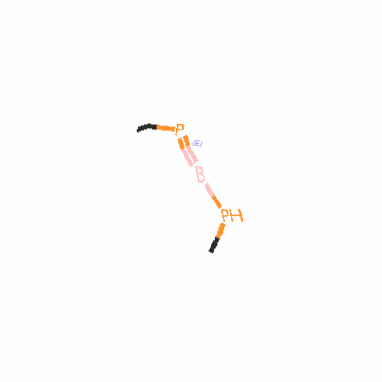 C/P=B/PC